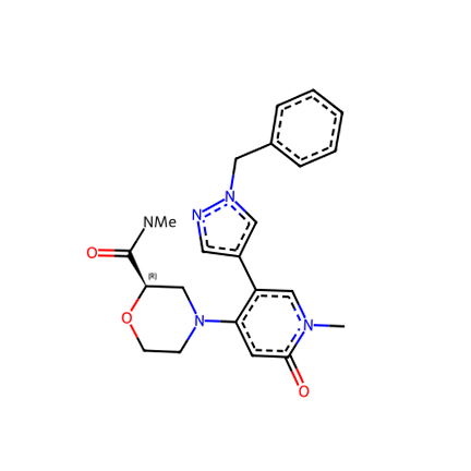 CNC(=O)[C@H]1CN(c2cc(=O)n(C)cc2-c2cnn(Cc3ccccc3)c2)CCO1